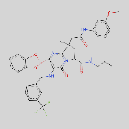 CCCNC(=O)C1CC(C)(CC(=O)Nc2cccc(OC)c2)c2nc(B3Oc4ccccc4O3)c(NCc3cccc(C(F)(F)F)c3)c(=O)n21